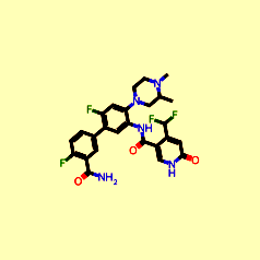 CC1CN(c2cc(F)c(-c3ccc(F)c(C(N)=O)c3)cc2NC(=O)c2c[nH]c(=O)cc2C(F)F)CCN1C